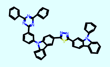 c1ccc(-c2nc(-c3ccccc3)nc(-c3cccc(-n4c5ccccc5c5cc(-c6nnc(-c7ccc8c9ccccc9n(-c9ccccc9)c8c7)s6)ccc54)c3)n2)cc1